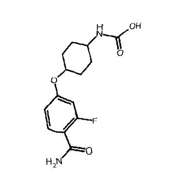 NC(=O)c1ccc(OC2CCC(NC(=O)O)CC2)cc1F